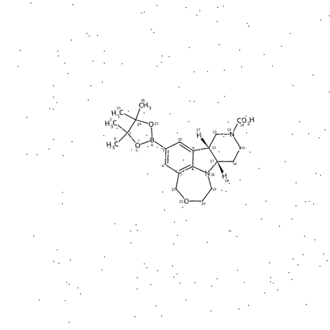 CC1(C)OB(c2cc3c4c(c2)[C@@H]2CN(C(=O)O)CC[C@@H]2N4CCOC3)OC1(C)C